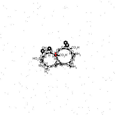 C[C@H](N)C(=O)N[C@H]1CSCCS(=O)(=O)N2CCN3C[N@](C2)NN(C(=O)[C@H](C)NC(=O)[C@@H](C)NC(=O)[C@H](Cc2cccc4ccccc24)NC(=O)[C@H](CCC(=O)O)NC(=O)[C@H](CC(N)=O)NC(=O)[C@@H](C)NC1=O)[C@@H](CCC(=O)O)C(=O)N[C@@H](CC(=O)O)C(=O)N[C@@H](Cc1ccccc1)C(=O)N[C@@H](Cc1ccc(O)cc1)C(=O)NC(CC(=O)O)C(=O)N[C@@H](C(C)(C)C)C(=O)N[C@H](C(N)=O)CSCCS3(=O)=O